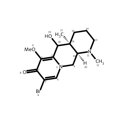 COc1c2n(cc(Br)c1=O)C[C@@H]1N(C)CCC[C@]1(C)C2O